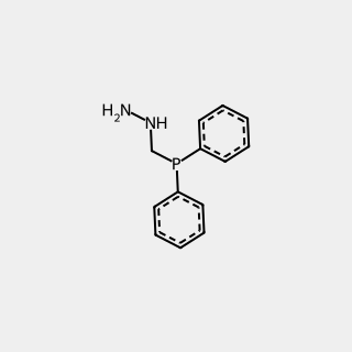 NNCP(c1ccccc1)c1ccccc1